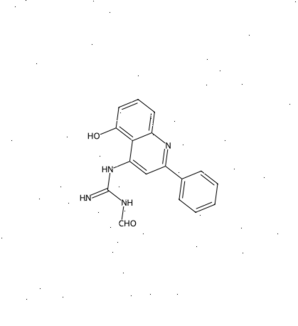 N=C(NC=O)Nc1cc(-c2ccccc2)nc2cccc(O)c12